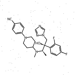 C[C@@H](N(C)C1CCN(c2ccc(C#N)cc2)CC1)[C@](O)(Cn1cncn1)c1ccc(F)cc1F